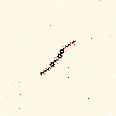 C=CC(=O)OCCCCOC(=O)c1ccc(-c2ccc(OC(=O)/C=C/c3ccc(OCCCCOC(=O)C=C)cc3)cc2)cc1